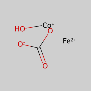 O=C([O-])[O-].[Fe+2].[OH][Co+]